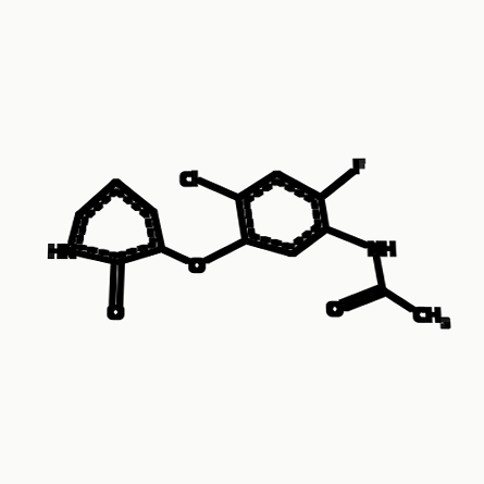 CC(=O)Nc1cc(Oc2ccc[nH]c2=O)c(Cl)cc1F